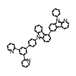 c1ccc(-n2c3ccc(-c4cccc5c4c4ccccc4n5-c4ccc(-c5cc(-c6ccccn6)cc(-c6ccccn6)c5)cc4)cc3c3cccnc32)cc1